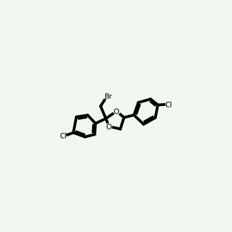 Clc1ccc(C2COC(CBr)(c3ccc(Cl)cc3)O2)cc1